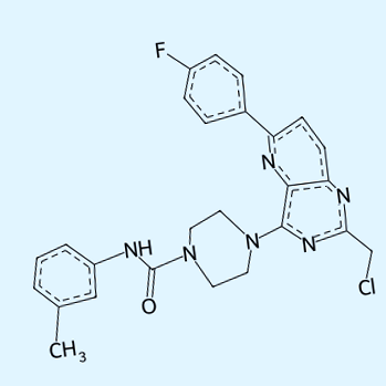 Cc1cccc(NC(=O)N2CCN(c3nc(CCl)nc4ccc(-c5ccc(F)cc5)nc34)CC2)c1